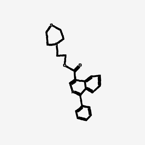 O=C(OCCN1CCOCC1)c1cnc(-c2ccccc2)c2ccccc12